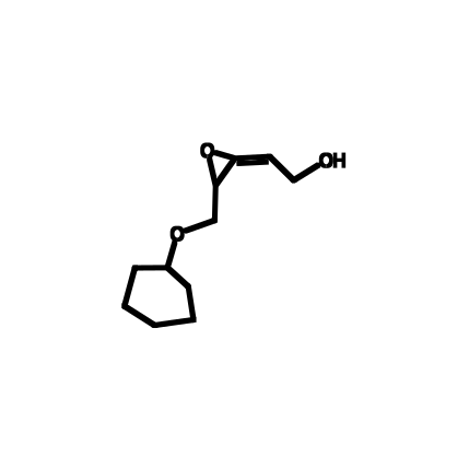 OCC=C1OC1COC1CCCCC1